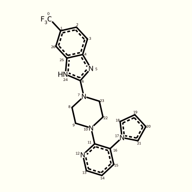 FC(F)(F)c1ccc2nc(N3CCN(c4ncccc4-n4cccc4)CC3)[nH]c2c1